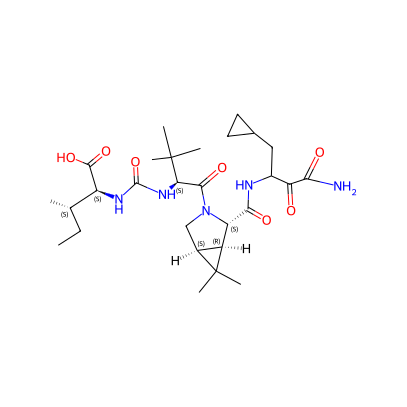 CC[C@H](C)[C@H](NC(=O)N[C@H](C(=O)N1C[C@H]2[C@@H]([C@H]1C(=O)NC(CC1CC1)C(=O)C(N)=O)C2(C)C)C(C)(C)C)C(=O)O